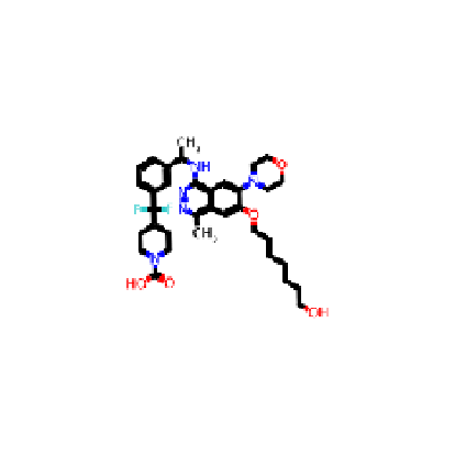 Cc1nnc(NC(C)c2cccc(C(F)(F)C3CCN(C(=O)O)CC3)c2)c2cc(N3CCOCC3)c(OCCCCCCCO)cc12